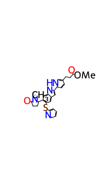 COC(=O)CCc1ccc(-c2cc3cc(Sc4ccccn4)c(C4CCC(=O)N4C)cc3[nH]2)nc1